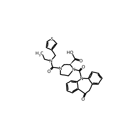 CCN(Cc1ccsc1)C(=O)N1CCN(C(=O)N2c3ccccc3CC(=O)c3ccccc32)[C@H](C(=O)O)C1